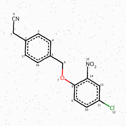 N#CCc1ccc(COc2ccc(Cl)cc2[N+](=O)[O-])cc1